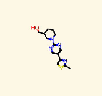 Cc1nc(-c2cnc(N3CCCC(CO)C3)nc2)cs1